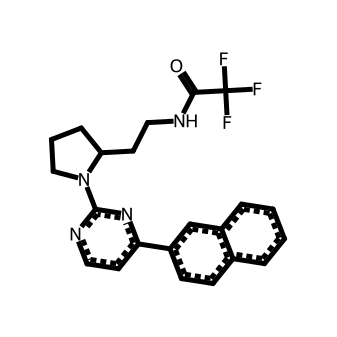 O=C(NCCC1CCCN1c1nccc(-c2ccc3ccccc3c2)n1)C(F)(F)F